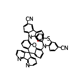 N#Cc1ccc2c(c1)Sc1ccccc1N2c1cccc2c1Oc1c(-n3c4ccccc4c4cc(C#N)ccc43)cccc1C21c2cccnc2-c2ncccc21